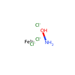 NO.[Cl-].[Cl-].[Cl-].[Fe+3]